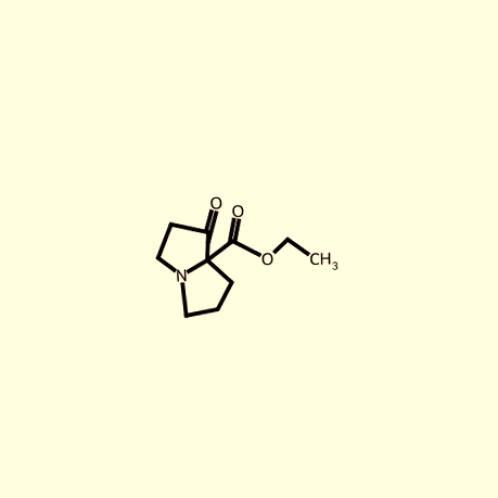 CCOC(=O)C12CCCN1CCC2=O